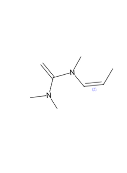 C=C(N(C)C)N(C)/C=C\C